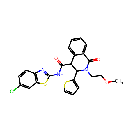 COCCN1C(=O)c2ccccc2C(C(=O)Nc2nc3ccc(Cl)cc3s2)C1c1cccs1